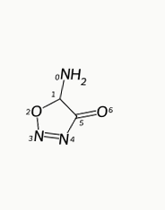 NC1ON=NC1=O